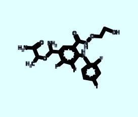 CC(OC(N)c1cc(C(=O)NOCCO)c(Nc2ccc(I)cc2F)c(F)c1F)C(N)=O